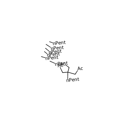 CCCCCC.CCCCCC.CCCCCC.CCCCCC.CCCCCC.CCCCCC.CCCCCC(CC(C)=O)(CC(C)=O)CC(C)=O